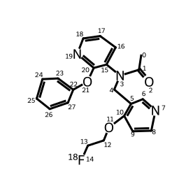 CC(=O)N(Cc1cnccc1OCC[18F])c1cccnc1Oc1ccccc1